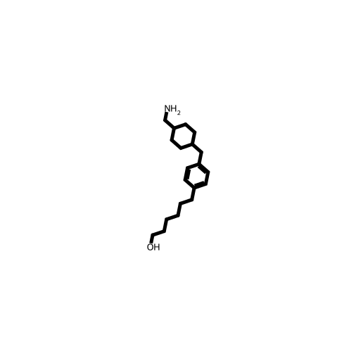 NCC1CCC(Cc2ccc(CCCCCCO)cc2)CC1